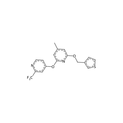 Cc1cc(OCc2ccsc2)nc(Oc2ccnc(C(F)(F)F)c2)c1